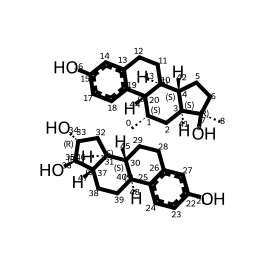 C[C@H]1C[C@H]2[C@@H](CC[C@@]2(C)O)[C@@H]2CCc3cc(O)ccc3[C@H]21.Oc1ccc2c(c1)CC[C@H]1[C@@H]3C[C@@H](O)[C@H](O)[C@H]3CC[C@H]21